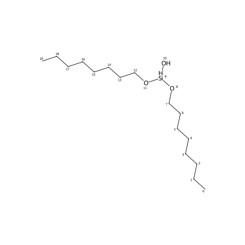 CCCCCCCCO[SiH](O)OCCCCCCCC